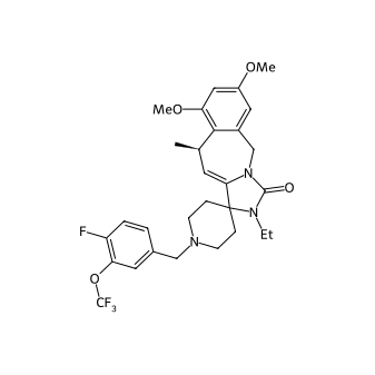 CCN1C(=O)N2Cc3cc(OC)cc(OC)c3[C@H](C)C=C2C12CCN(Cc1ccc(F)c(OC(F)(F)F)c1)CC2